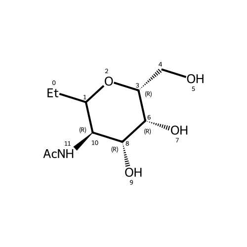 CCC1O[C@H](CO)[C@H](O)[C@H](O)[C@H]1NC(C)=O